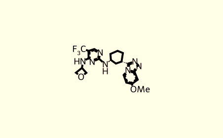 COc1ccn2c([C@H]3CCC[C@@H](Nc4ncc(C(F)(F)F)c(NC5COC5)n4)C3)nnc2c1